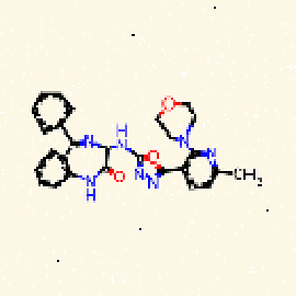 Cc1ccc(-c2nnc(NC3N=C(c4ccccc4)c4ccccc4NC3=O)o2)c(N2CCOCC2)n1